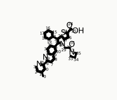 Cc1ccnc(-c2ccc3cc(-c4c(-c5ccccc5)c5sc(C(=O)O)cc5n4CC(=O)N4CCC4)ccc3n2)c1